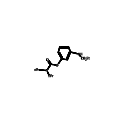 CCCN(CCC)C(=O)Oc1cccc(NC(=O)OCC)c1